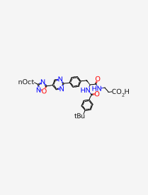 CCCCCCCCc1noc(-c2cnc(-c3ccc(C[C@H](NC(=O)c4ccc(C(C)(C)C)cc4)C(=O)NCCC(=O)O)cc3)nc2)n1